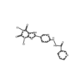 CCn1c(=O)c2[nH]c(-c3ccc(NNC(=O)c4cccnc4)nc3)nc2n(CC)c1=O